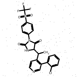 CC(c1ccncc1-c1ccccc1Cl)C1NC(=O)N(c2ccc(S(=O)(=O)C(F)(F)F)cc2)C1=O